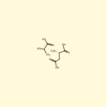 CC(O)C(=O)O.N[C@@H](CC(=O)O)C(=O)O